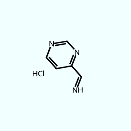 Cl.N=Cc1ccncn1